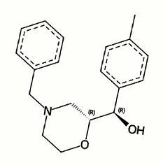 Cc1ccc([C@@H](O)[C@H]2CN(Cc3ccccc3)CCO2)cc1